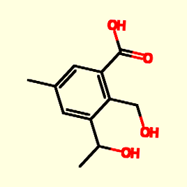 Cc1cc(C(=O)O)c(CO)c(C(C)O)c1